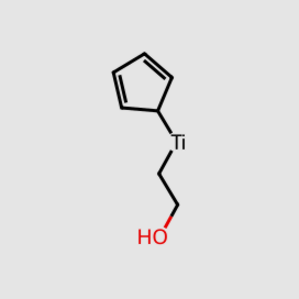 OC[CH2][Ti][CH]1C=CC=C1